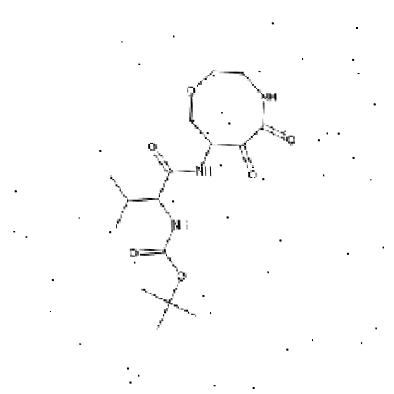 CC(C)C(NC(=O)OC(C)(C)C)C(=O)NC1COCCNC(=O)C1=O